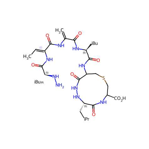 C=C(NC(=O)/C(=C/C)NC(=O)[C@@H](NN)[C@H](C)CC)C(=O)N[C@H](C(=O)NC1CSCC(C(=O)O)NC(=O)[C@H](CC(C)C)NNC1=O)C(C)CC